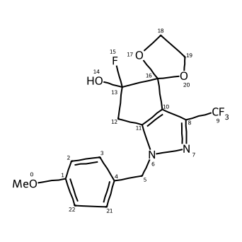 COc1ccc(Cn2nc(C(F)(F)F)c3c2CC(O)(F)C32OCCO2)cc1